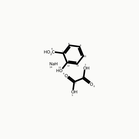 O=C(O)C(=O)O.O=C(O)c1ccccc1O.[NaH]